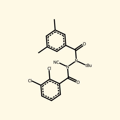 Cc1cc(C)cc(C(=O)N(N(C#N)C(=O)c2cccc(Cl)c2Cl)C(C)(C)C)c1